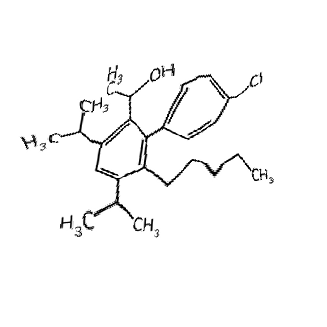 CCCCCc1c(C(C)C)cc(C(C)C)c(C(C)O)c1-c1ccc(Cl)cc1